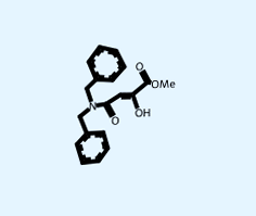 COC(=O)C(O)=CC(=O)N(Cc1ccccc1)Cc1ccccc1